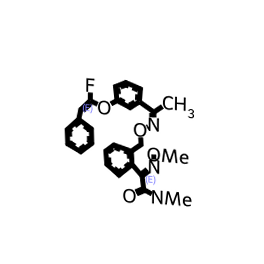 CNC(=O)/C(=N/OC)c1ccccc1CON=C(C)c1cccc(O/C(F)=C\c2ccccc2)c1